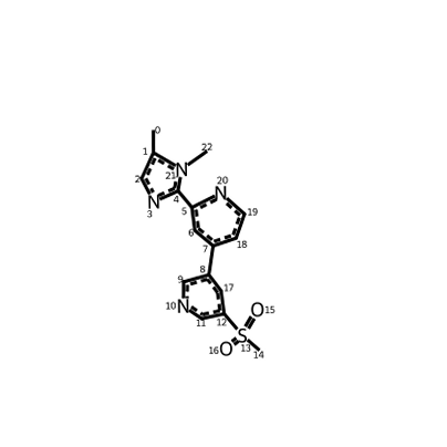 Cc1cnc(-c2cc(-c3cncc(S(C)(=O)=O)c3)ccn2)n1C